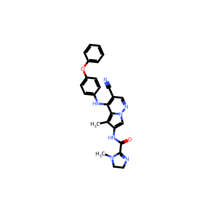 Cc1c(NC(=O)C2=NCCN2C)cn2ncc(C#N)c(Nc3ccc(Oc4ccccc4)cc3)c12